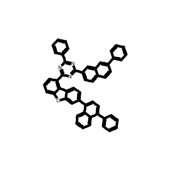 c1ccc(-c2ccc3ccc(-c4nc(-c5ccccc5)nc(-c5cccc6oc7cc(-c8ccc(-c9ccccc9)c9ccccc89)ccc7c56)n4)cc3c2)cc1